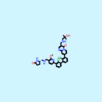 COc1nc(-c2cccc(-c3cccc(-c4ccn5c(=O)c(CNCC(C)(C)O)cnc5c4)c3Cl)c2Cl)ccc1CNC[C@@H]1CCC(=O)N1